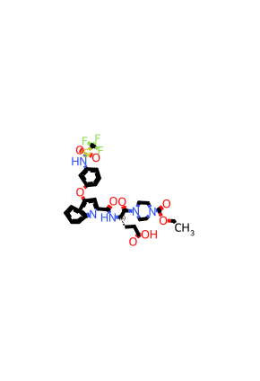 CCOC(=O)N1CCN(C(=O)[C@H](CCC(=O)O)NC(=O)c2cc(Oc3cccc(NS(=O)(=O)C(F)(F)F)c3)c3ccccc3n2)CC1